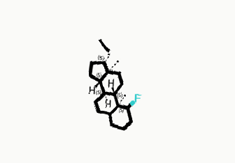 CC[C@H]1CC[C@H]2[C@@H]3CCC4CCCC(F)[C@]4(C)[C@H]3CC[C@]12C